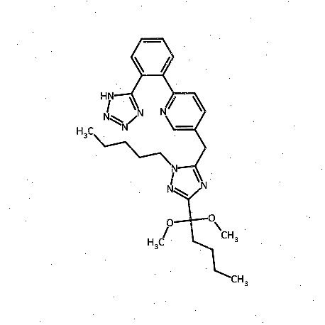 CCCCCn1nc(C(CCCC)(OC)OC)nc1Cc1ccc(-c2ccccc2-c2nnn[nH]2)nc1